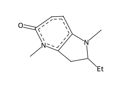 CCC1Cc2c(ccc(=O)n2C)N1C